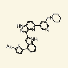 CC(=O)c1ccc(-c2cccc3[nH]c(-c4n[nH]c5ccc(-c6cncc(CN7CCCCC7)c6)nc45)cc23)s1